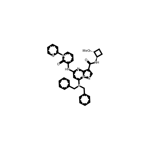 CO[C@@H]1CC[C@H]1NC(=O)c1cnn2c(N(Cc3ccccc3)Cc3ccccc3)cc(Nc3cccn(-c4ccccn4)c3=O)nc12